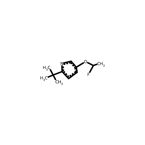 CC(F)Oc1ccc(C(C)(C)C)nc1